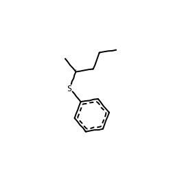 CCC[C](C)Sc1ccccc1